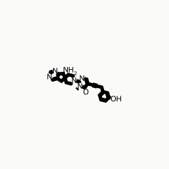 Cn1c(N2CCC3(CC2)Cc2cncnc2[C@H]3N)ncc(C#CCc2cccc(O)c2)c1=O